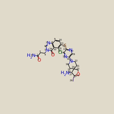 NC(=O)CCn1cnc2ccc(Sc3cnc(N4CCC5(CC4)CO[C@@H](I)[C@H]5N)cn3)c(Cl)c2c1=O